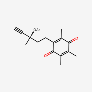 C#C[C@@](C)(CCC1=C(C)C(=O)C(C)=C(C)C1=O)OC(C)=O